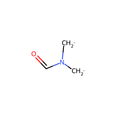 [CH2]N([CH2])C=O